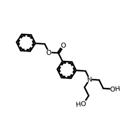 O=C(OCc1ccccc1)c1cccc(CN(CCO)CCO)c1